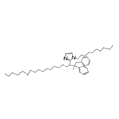 CCCCCCCCCCCCCCCCC(c1nccn1CCCCCCCCCC)C(C)(Cc1ccccc1)c1ccccc1